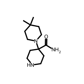 CC1(C)CCN(C2(C(N)=O)CCNCC2)CC1